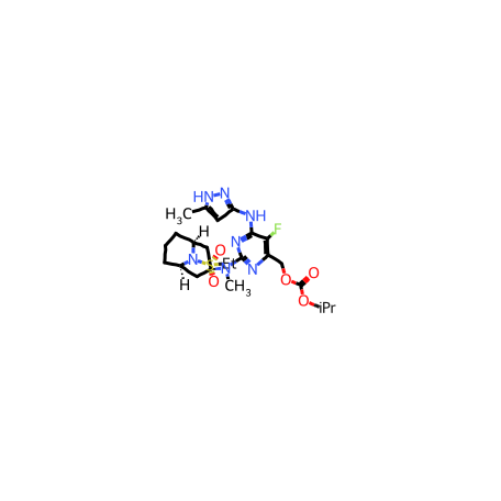 CCS(=O)(=O)N1[C@@H]2CCC[C@H]1C[C@@H](N(C)c1nc(COC(=O)OC(C)C)c(F)c(Nc3cc(C)[nH]n3)n1)C2